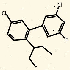 CCC(CC)c1ccc(Cl)cc1-c1cc(F)cc(Cl)c1